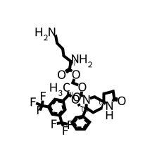 C[C@@H](OC[C@@]1(c2ccccc2)CC[C@]2(CCC(=O)N2)CN1C(=O)OCOC(=O)[C@@H](N)CCCCN)c1cc(C(F)(F)F)cc(C(F)(F)F)c1